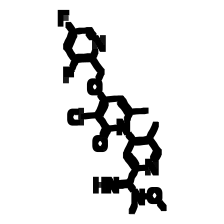 CON(C)C(=N)c1cc(-n2c(C)cc(OCc3ncc(F)cc3F)c(Cl)c2=O)c(C)cn1